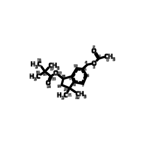 CC(=O)OCc1ccc2c(c1)C(OC(=O)C(C)(C)C)CC2(C)C